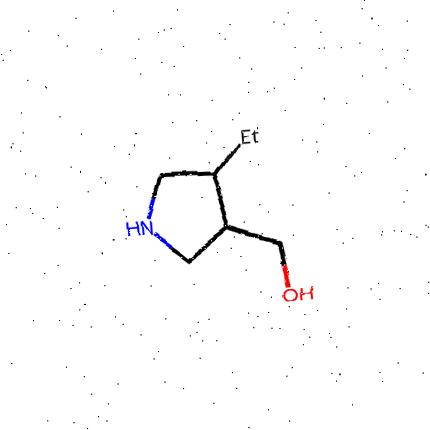 CCC1CNCC1CO